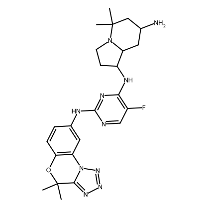 CC1(C)Oc2ccc(Nc3ncc(F)c(NC4CCN5C4CC(N)CC5(C)C)n3)cc2-n2nnnc21